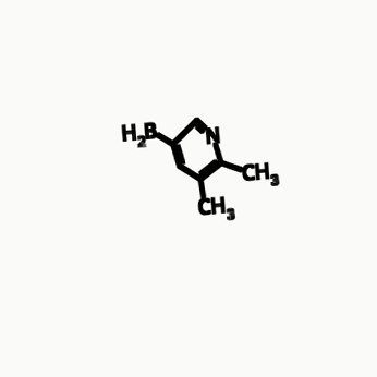 Bc1cnc(C)c(C)c1